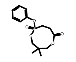 CC1(C)COC(=O)CCP(=O)(Oc2ccccc2)OC1